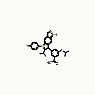 CC(C)Oc1cc(C(=O)O)cc(-c2c(C(C)C)n(-c3ccc(F)cc3)c3cc4cn[nH]c4cc23)c1